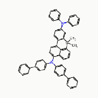 C[Si]1(C)c2cc(N(c3ccccc3)c3ccccc3)ccc2-c2ccc(N(c3ccc(-c4ccccc4)cc3)c3ccc(-c4ccccc4)cc3)c3cccc1c23